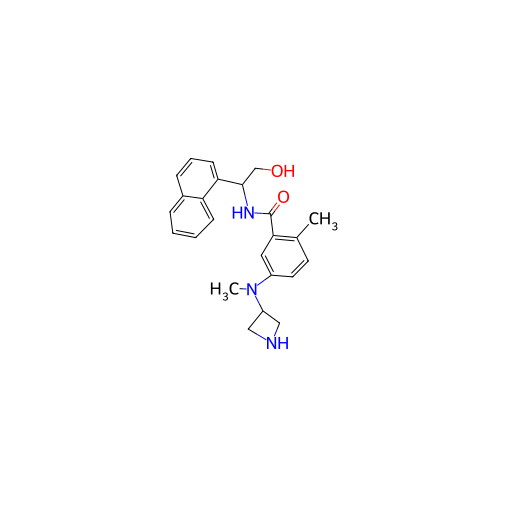 Cc1ccc(N(C)C2CNC2)cc1C(=O)NC(CO)c1cccc2ccccc12